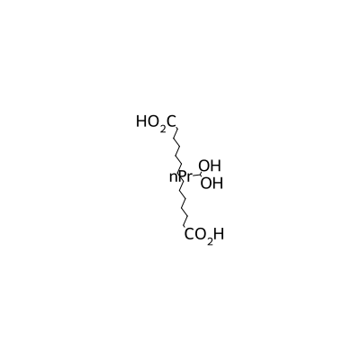 CCCC(O)O.O=C(O)CCCCCCCCCCCCC(=O)O